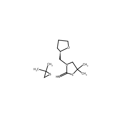 CC1(C)CN(C[C@H]2CCCO2)C(=N)S1.CC1(C)CS1